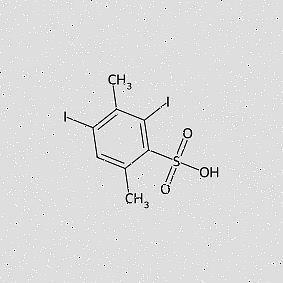 Cc1cc(I)c(C)c(I)c1S(=O)(=O)O